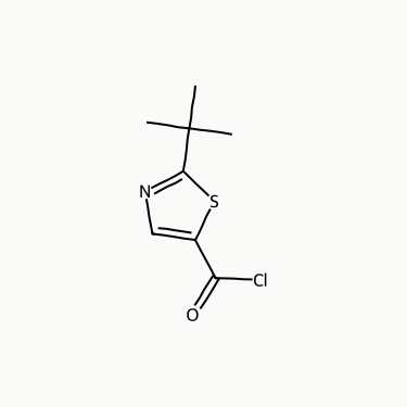 CC(C)(C)c1ncc(C(=O)Cl)s1